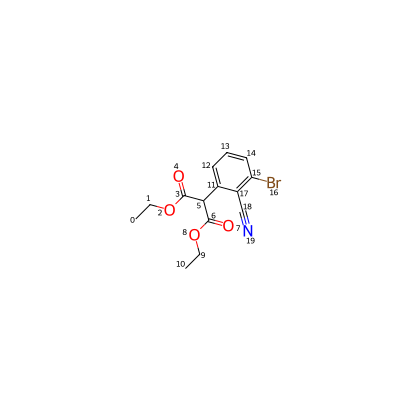 CCOC(=O)C(C(=O)OCC)c1cccc(Br)c1C#N